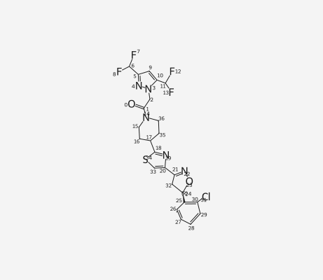 O=C(Cn1nc(C(F)F)cc1C(F)F)N1CCC(c2nc(C3=NO[C@@H](c4[c]cccc4Cl)C3)cs2)CC1